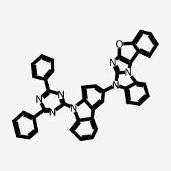 c1ccc(-c2nc(-c3ccccc3)nc(-n3c4ccccc4c4cc(-n5c6ccccc6n6c7c(nc56)oc5ccccc57)ccc43)n2)cc1